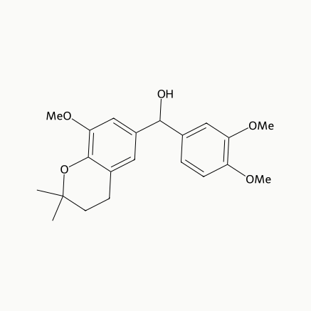 COc1ccc(C(O)c2cc3c(c(OC)c2)OC(C)(C)CC3)cc1OC